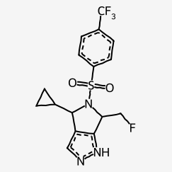 O=S(=O)(c1ccc(C(F)(F)F)cc1)N1C(CF)c2[nH]ncc2C1C1CC1